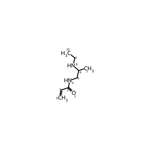 C=CC(=O)NCC(C)NCC